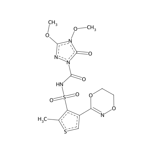 COc1nn(C(=O)NS(=O)(=O)c2c(C3=NOCCO3)csc2C)c(=O)n1OC